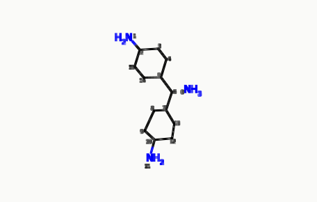 N.NC1CCC(CC2CCC(N)CC2)CC1